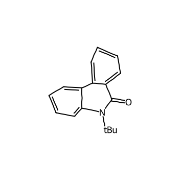 CC(C)(C)n1c(=O)c2ccccc2c2ccccc21